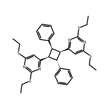 CCSc1cc([C@H]2[C@H](c3ccccc3)[C@@H](c3cc(SCC)nc(SCC)n3)[C@H]2c2ccccc2)nc(SCC)n1